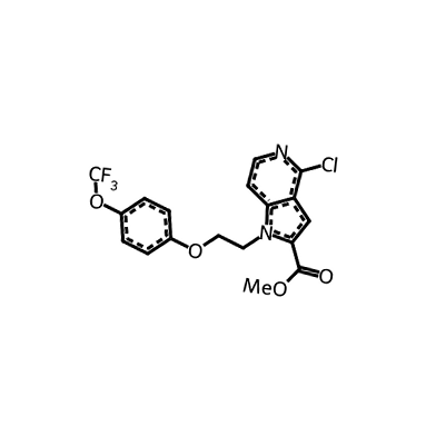 COC(=O)c1cc2c(Cl)nccc2n1CCOc1ccc(OC(F)(F)F)cc1